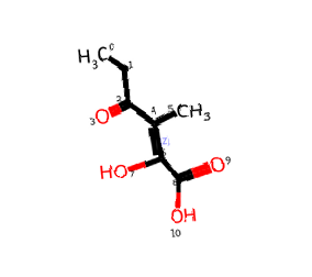 CCC(=O)/C(C)=C(\O)C(=O)O